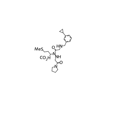 CSCCC(C(=O)O)N(NCC(=O)N1CCCC1)C(=O)CNCc1cccc(C2CC2)c1